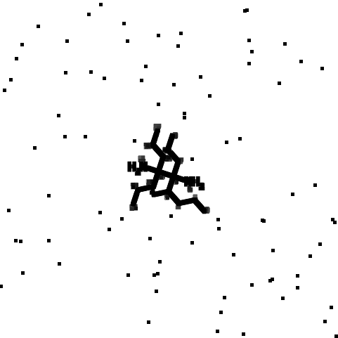 CCCC(C)C(N)(CCC)C(N)(CCC)CCC